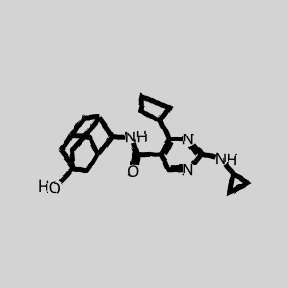 O=C(NC1C2CC3CC1CC(O)(C3)C2)c1cnc(NC2CC2)nc1C1CCC1